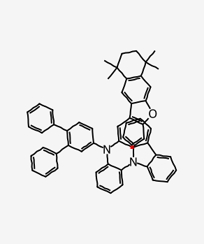 CC1(C)CCC(C)(C)c2cc3c(cc21)oc1ccc(N(c2ccc(-c4ccccc4)c(-c4ccccc4)c2)c2ccccc2-n2c4ccccc4c4ccccc42)cc13